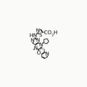 CN1C(=O)[C@@H](Cc2ccccn2)N(C2CCCC2)c2nc(Nc3ncc(C(=O)O)s3)ncc21